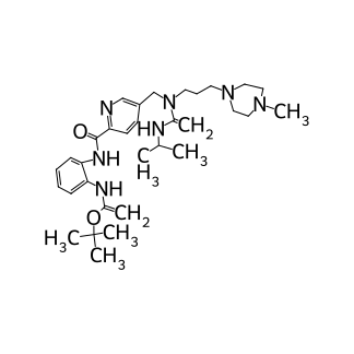 C=C(Nc1ccccc1NC(=O)c1ccc(CN(CCCN2CCN(C)CC2)C(=C)NC(C)C)cn1)OC(C)(C)C